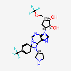 O[C@@H]1[C@@H](COC(F)(F)F)C[C@@H](n2cnc3c2N=CN2C3N([C@H]3CCNC3)C23C=CC(C(F)(F)F)=CC3)[C@@H]1O